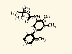 Cc1cnccc1N1C[C@H](C)[C@@H](O)[C@H](NC(=O)OC(C)(C)C)C1